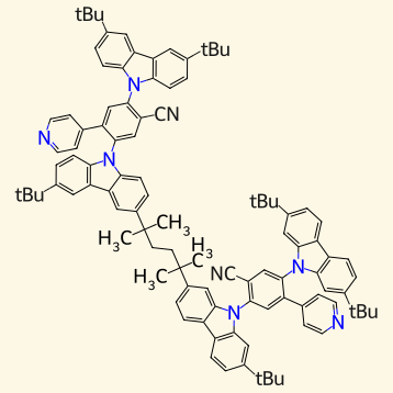 CC(C)(C)c1ccc2c(c1)c1cc(C(C)(C)C)ccc1n2-c1cc(-c2ccncc2)c(-n2c3ccc(C(C)(C)C)cc3c3cc(C(C)(C)CCC(C)(C)c4ccc5c6ccc(C(C)(C)C)cc6n(-c6cc(-c7ccncc7)c(-n7c8cc(C(C)(C)C)ccc8c8ccc(C(C)(C)C)cc87)cc6C#N)c5c4)ccc32)cc1C#N